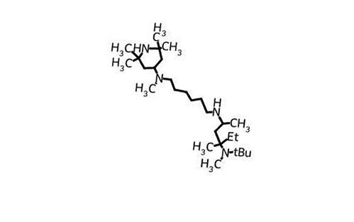 CCC(C)(CC(C)NCCCCCCN(C)C1CC(C)(C)NC(C)(C)C1)N(C)C(C)(C)C